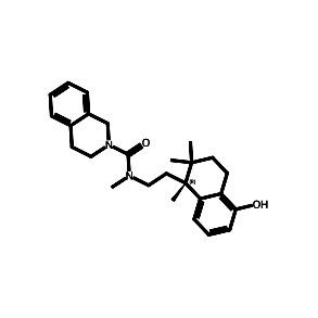 CN(CC[C@@]1(C)c2cccc(O)c2CCC1(C)C)C(=O)N1CCc2ccccc2C1